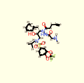 C#CCCC(=O)N(NC(=O)CN(C)C)[C@@H](Cc1ccccc1)[C@H](O)CN(CC(C)C)S(=O)(=O)c1ccc2c(c1)OC(F)(F)O2